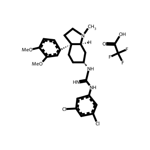 COc1ccc([C@@]23CC[C@@H](NC(=N)Nc4cc(Cl)cc(Cl)c4)C[C@@H]2N(C)CC3)cc1OC.O=C(O)C(F)(F)F